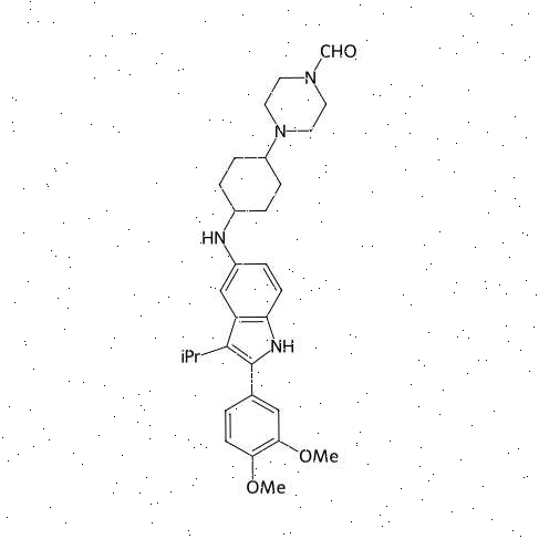 COc1ccc(-c2[nH]c3ccc(NC4CCC(N5CCN(C=O)CC5)CC4)cc3c2C(C)C)cc1OC